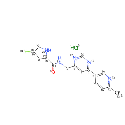 Cl.O=C(NCc1cc(-c2ccc(C(F)(F)F)nc2)ncn1)[C@@H]1C[C@@H](F)CN1